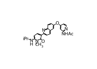 CC(=O)Nc1cc(Oc2ccc3nc(-c4ccc(NC(C)C)n(C)c4=O)ccc3c2)ccn1